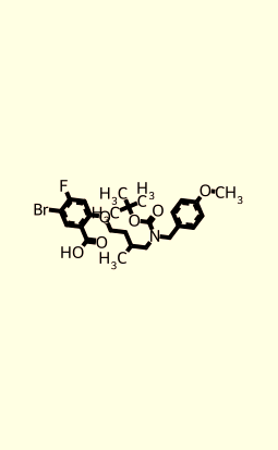 COc1ccc(CN(CC(C)CCOc2cc(F)c(Br)cc2C(=O)O)C(=O)OC(C)(C)C)cc1